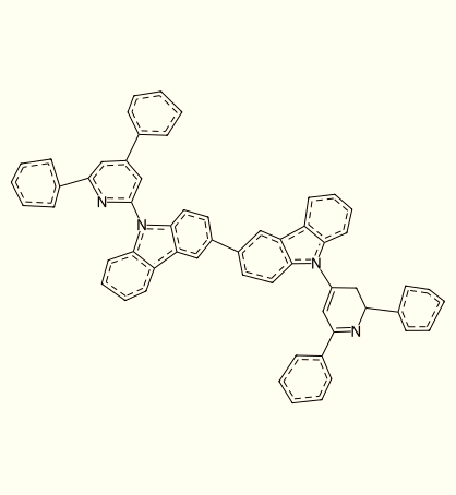 C1=C(n2c3ccccc3c3cc(-c4ccc5c(c4)c4ccccc4n5-c4cc(-c5ccccc5)cc(-c5ccccc5)n4)ccc32)CC(c2ccccc2)N=C1c1ccccc1